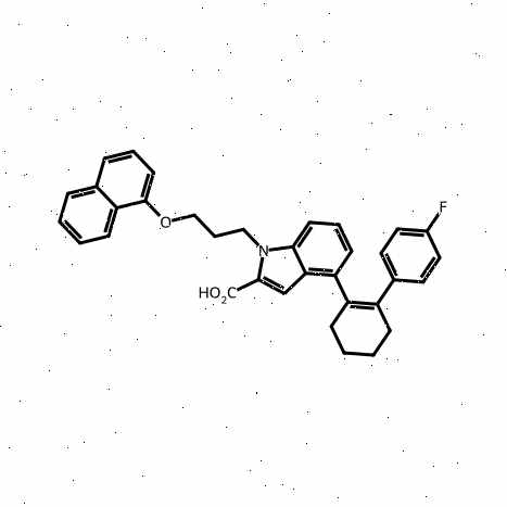 O=C(O)c1cc2c(C3=C(c4ccc(F)cc4)CCCC3)cccc2n1CCCOc1cccc2ccccc12